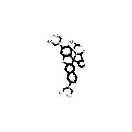 CCN(CC)c1ccc2c(c1)Oc1cc3cc(N(CC)CC)ccc3cc1C21c2ccccc2C(=O)N1NC(N)=O